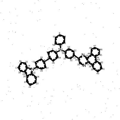 c1ccc(N(c2ccc(-c3ccc(-n4c5ccccc5c5ccccc54)cc3)cc2)c2ccc(-c3cnc4c5ccccc5c5ccccc5c4n3)cc2)cc1